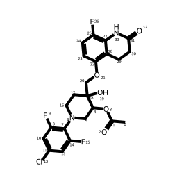 CC(=O)OC1CN(c2c(F)cc(Cl)cc2F)CCC1(O)COc1ccc(F)c2c1CCC(=O)N2